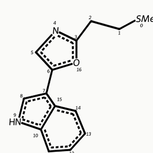 CSCCc1ncc(-c2c[nH]c3ccccc23)o1